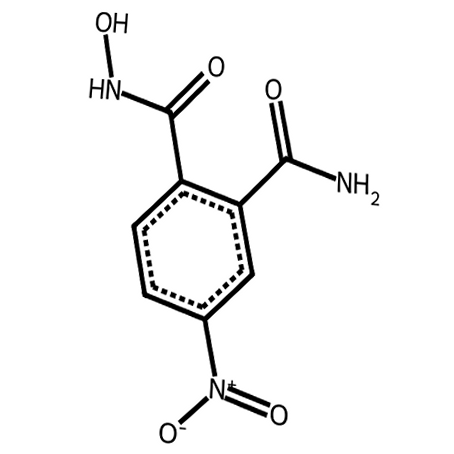 NC(=O)c1cc([N+](=O)[O-])ccc1C(=O)NO